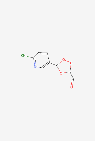 O=CC1OOC(c2ccc(Cl)nc2)O1